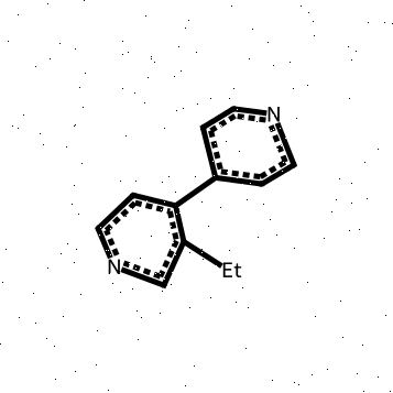 CCc1cnccc1-c1ccncc1